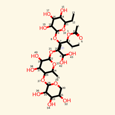 CCC(OC(C)=O)/C(OC1OC(CC)C(O)C(O)C1O)=C(/OC1OC(C)C(OC2OCC(O)C(O)C2O)C(O)C1O)C(O)O